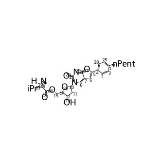 CCCCCc1ccc(-c2cc3cn(C4CC(O)C(COC(=O)C(N)C(C)C)O4)c(=O)nc3o2)cc1